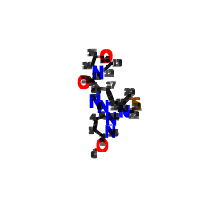 COc1ccc(-n2nc(C(=O)N3CCOCC3)cc2-c2cscn2)nn1